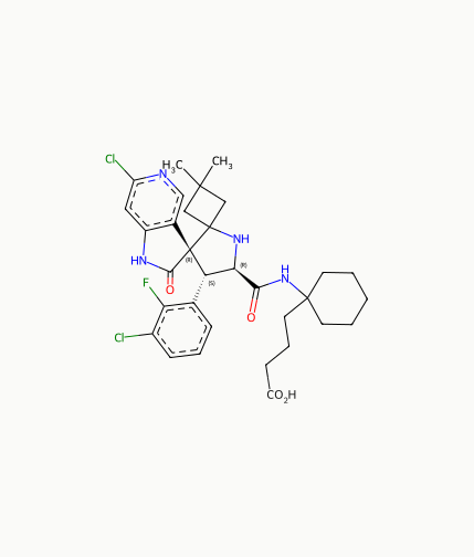 CC1(C)CC2(C1)N[C@@H](C(=O)NC1(CCCC(=O)O)CCCCC1)[C@H](c1cccc(Cl)c1F)[C@]21C(=O)Nc2cc(Cl)ncc21